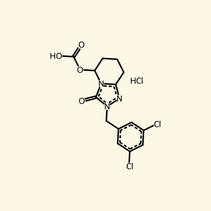 Cl.O=C(O)OC1CCCc2nn(Cc3cc(Cl)cc(Cl)c3)c(=O)n21